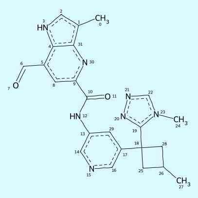 Cc1c[nH]c2c(C=O)cc(C(=O)Nc3cncc(C4(c5nncn5C)CC(C)C4)c3)nc12